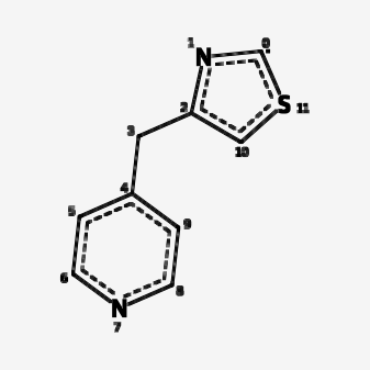 [c]1nc(Cc2ccncc2)cs1